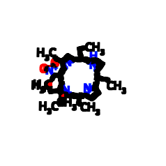 CCC1=Cc2nc1c(C(C)[N+](=O)[O-])c1c(CC)c(CC)c(c(CC)c3nc(c(CC)c4ccc([nH]4)c2CC)C=C3)n1CC